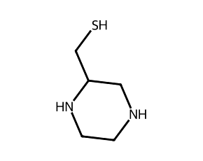 SCC1CNCCN1